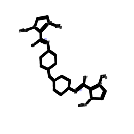 CCCCCCCCn1cc[n+](C)c1/C([O-])=N/C1CCC(CC2CCC(/N=C(\[O-])c3n(CCCCCCCC)cc[n+]3C)CC2)CC1